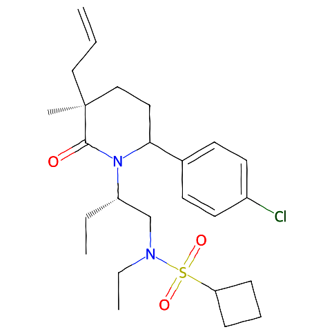 C=CC[C@@]1(C)CCC(c2ccc(Cl)cc2)N([C@@H](CC)CN(CC)S(=O)(=O)C2CCC2)C1=O